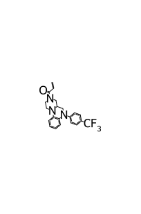 C=CC(=O)N1CCN2c3ccccc3N(c3ccc(C(F)(F)F)cc3)CC2C1